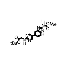 COC(=O)Nc1nc2cc(-c3cnc(NCC(=O)OC(C)(C)C)nc3)ccc2[nH]1